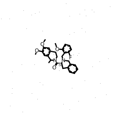 COc1cc2c(cc1OC)C(C)N(C(=O)[C@@H]1Cc3ccccc3CN1Cc1c(F)cccc1OC)CC2